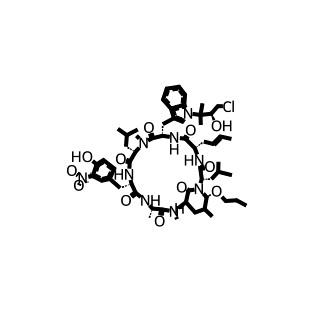 C/C=C/C[C@@H]1NC(=O)[C@H](CC(C)C)N2C(=O)[C@H](CC(C)[C@H]2OCCC)N(C)C(=O)[C@H](C)NC(=O)[C@H](Cc2ccc(O)c([N+](=O)[O-])c2)NC(=O)[C@H](CC(C)C)N(C)C(=O)[C@H](Cc2cn(C(C)(C)[C@H](O)CCl)c3ccccc23)NC1=O